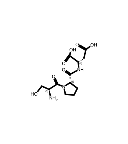 N[C@@H](CO)C(=O)N1CCC[C@H]1C(=O)N[C@@H](CC(=O)O)C(=O)O